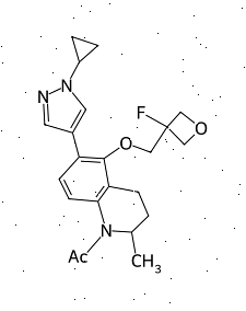 CC(=O)N1c2ccc(-c3cnn(C4CC4)c3)c(OCC3(F)COC3)c2CCC1C